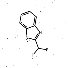 FC(F)C1=Nc2ccccc2[N]1